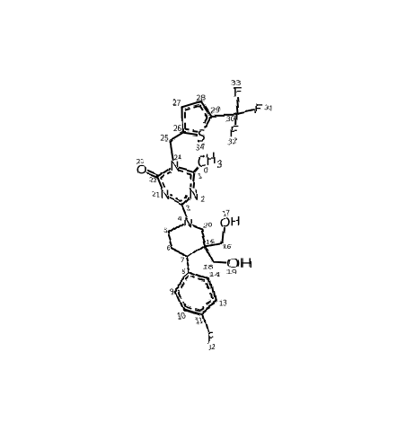 Cc1nc(N2CCC(c3ccc(F)cc3)C(CO)(CO)C2)nc(=O)n1Cc1ccc(C(F)(F)F)s1